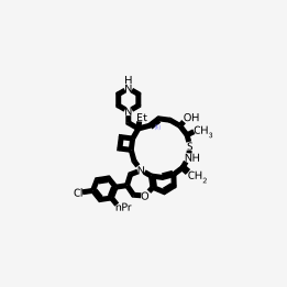 C=C1NSC(C)C(O)C/C=C/C(CC)(CN2CCNCC2)C2CCC2CN2CC(c3ccc(Cl)cc3CCC)COc3ccc1cc32